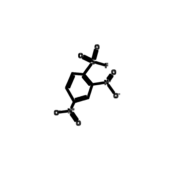 O=[N+]([O-])c1ccc(S(=O)(=O)F)c([N+](=O)[O-])c1